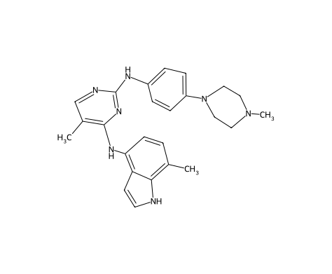 Cc1cnc(Nc2ccc(N3CCN(C)CC3)cc2)nc1Nc1ccc(C)c2[nH]ccc12